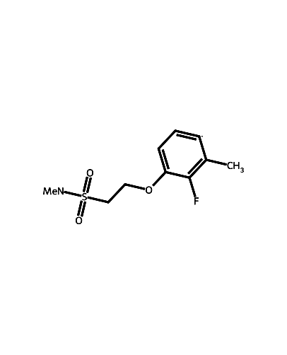 CNS(=O)(=O)CCOc1cc[c]c(C)c1F